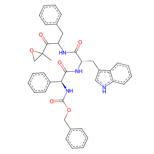 CC1(C(=O)C(Cc2ccccc2)NC(=O)[C@H](Cc2c[nH]c3ccccc23)NC(=O)[C@@H](NC(=O)OCc2ccccc2)c2ccccc2)CO1